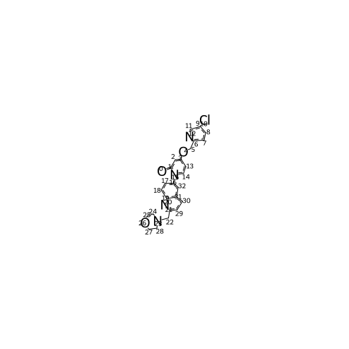 O=c1cc(OCc2ccc(Cl)cn2)ccn1-c1ccc2nc(CN3CCOCC3)ccc2c1